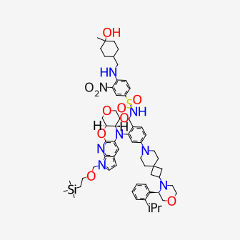 CC(C)c1ccccc1[C@@H]1COCCN1C1CC2(CCN(c3ccc(C(=O)NS(=O)(=O)c4ccc(NCC5CCC(C)(O)CC5)c([N+](=O)[O-])c4)c(N4c5cc6ccn(COCC[Si](C)(C)C)c6nc5O[C@H]5COCC[C@@H]54)c3)CC2)C1